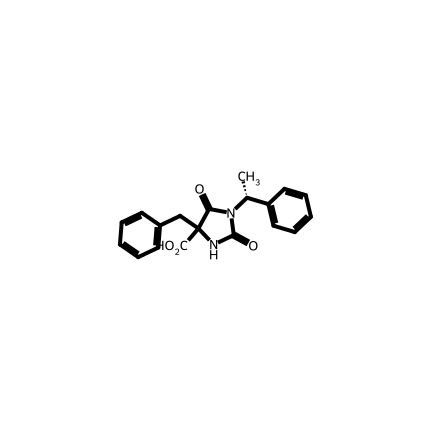 C[C@H](c1ccccc1)N1C(=O)NC(Cc2ccccc2)(C(=O)O)C1=O